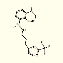 CC1CC=Cc2c1cccc2[C@@H](C)NCCCc1cccc(C(F)(F)F)c1